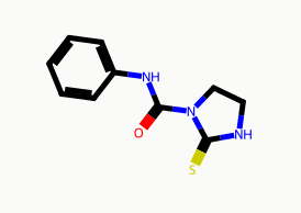 O=C(Nc1ccccc1)N1CCNC1=S